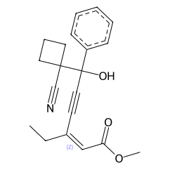 CC/C(C#CC(O)(c1ccccc1)C1(C#N)CCC1)=C/C(=O)OC